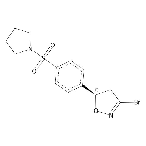 O=S(=O)(c1ccc([C@H]2CC(Br)=NO2)cc1)N1CCCC1